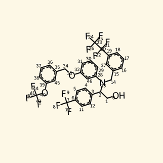 OCC(c1ccc(C(F)(F)F)cc1)N(Cc1cccc(C(F)(F)C(F)(F)F)c1)c1cccc(OCc2cccc(OC(F)(F)F)c2)c1